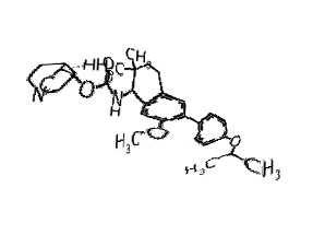 COc1cc2c(cc1-c1ccc(OC(C)C)cc1)CCC(C)(C)C2NC(=O)O[C@H]1CN2CCC1CC2